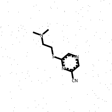 CN(C)CCSc1cncc(C#N)n1